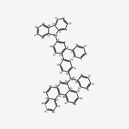 c1ccc(-c2cc(-n3c4ccccc4c4ccccc43)ccc2-c2ccc(N(c3ccccc3)c3cc4ccc5ccccc5c4c4ccccc34)cc2)cc1